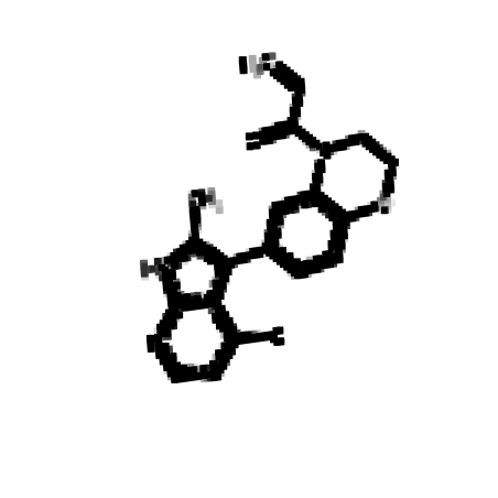 C=CC(=O)N1CCOc2ccc(-c3c(C)[nH]c4nccc(Cl)c34)cc21